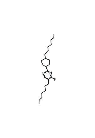 CCCCCCCc1cnc(C2CCC(CCCCCCC)CC2)nc1F